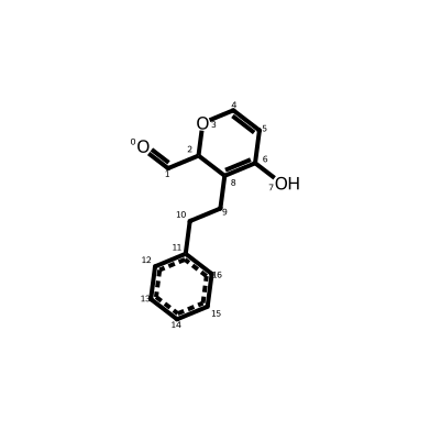 O=CC1OC=CC(O)=C1CCc1ccccc1